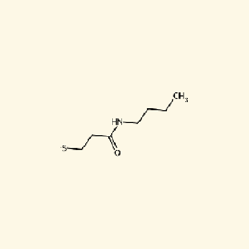 CCCCNC(=O)CC[S]